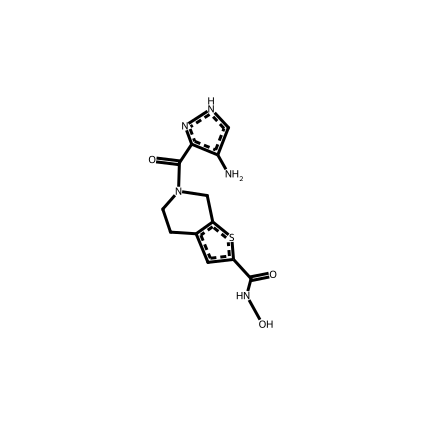 Nc1c[nH]nc1C(=O)N1CCc2cc(C(=O)NO)sc2C1